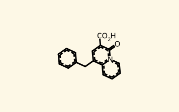 O=C(O)c1cc(Cc2ccccc2)c2ccccn2c1=O